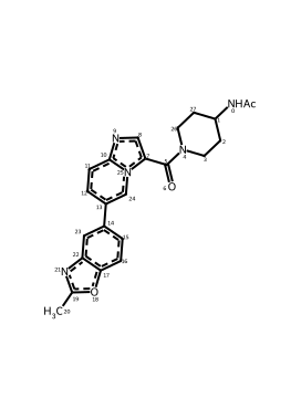 CC(=O)NC1CCN(C(=O)c2cnc3ccc(-c4ccc5oc(C)nc5c4)cn23)CC1